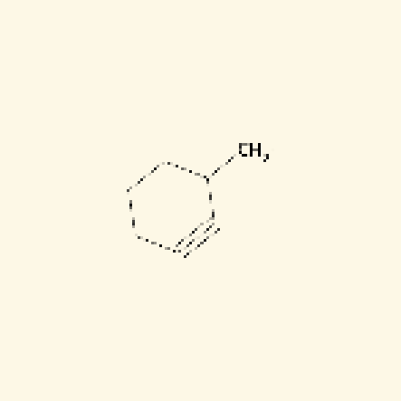 [CH2]C1C#CCCC1